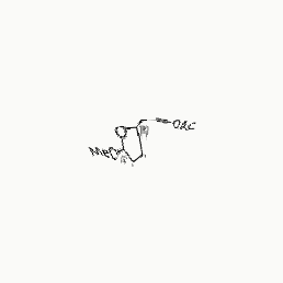 CO[C@@H]1[CH][CH][C@H](CC#COC(C)=O)O1